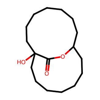 O=C1OC2CCCCCCCC1(O)CCCCCCC2